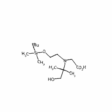 CC(C)(CO)N(CCO[Si](C)(C)C(C)(C)C)CC(=O)O